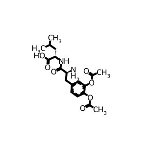 CC(=O)Oc1ccc(C[C@H](N)C(=O)N[C@@H](CC(C)C)C(=O)O)cc1OC(C)=O